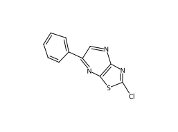 Clc1nc2ncc(-c3ccccc3)nc2s1